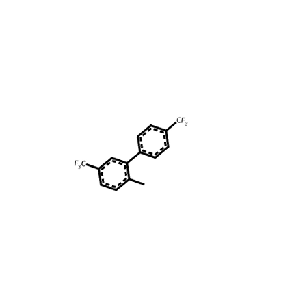 Cc1ccc(C(F)(F)F)cc1-c1ccc(C(F)(F)F)cc1